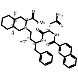 CNC(=O)[C@@H]1C[C@@H]2CCCC[C@@H]2CN1C[C@@H](O)[C@H](Cc1ccccc1)NC(=O)[C@H](CC(N)=O)NC(=O)c1ccc2ccccc2n1